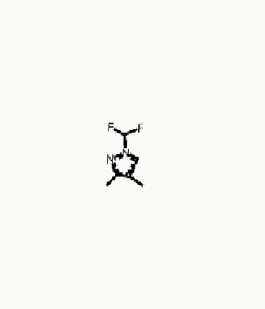 Cc1cn(C(F)F)nc1C